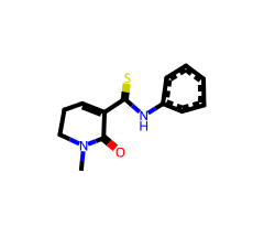 CN1CCC=C(C(=S)Nc2ccccc2)C1=O